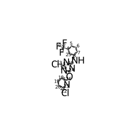 FC(F)(F)c1cccc(Nc2nc(Cl)nc(Oc3cccc(Cl)n3)n2)c1